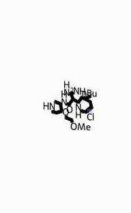 CCCC[C@]1(C)C/C=C(/Cl)CNC(C(C(=O)NC2CNCCC2OCCOC)C(N)N)C1